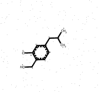 CC(C)Cc1ccc(CO)c(Cl)c1